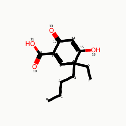 CCCCC1(CC)C=C(C(=O)O)C(=O)C=C1O